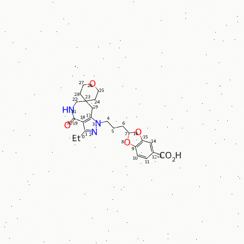 CCc1nn(CCCC2Oc3ccc(C(=O)O)cc3O2)c2c1C(=O)NCC1(CCOCC1)C2